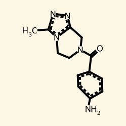 Cc1nnc2n1CCN(C(=O)c1ccc(N)cc1)C2